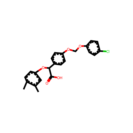 Cc1ccc(OC(C(=O)O)c2ccc(OCOc3ccc(Cl)cc3)cc2)cc1C